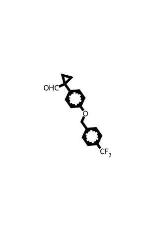 O=CC1(c2ccc(OCc3ccc(C(F)(F)F)cc3)cc2)CC1